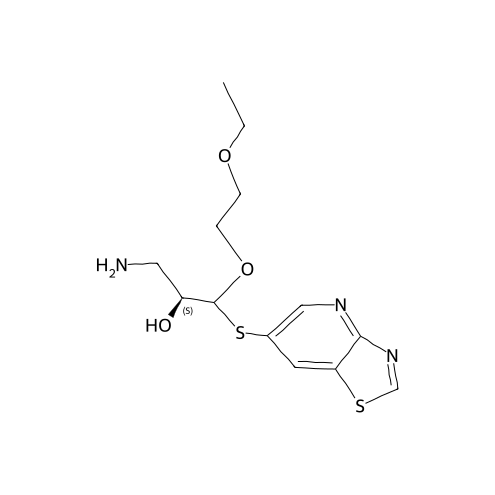 CCOCCOC(Sc1cnc2ncsc2c1)[C@@H](O)CN